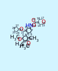 COc1cc(-c2ccc(NOC(=O)C3CCOCC3)cc2COC2CCCC2)c(C)c(OC)c1C